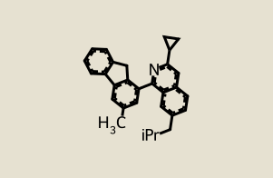 Cc1cc2c(c(-c3nc(C4CC4)cc4ccc(CC(C)C)cc34)c1)Cc1ccccc1-2